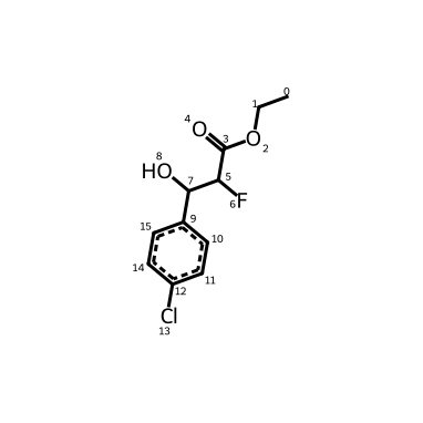 CCOC(=O)C(F)C(O)c1ccc(Cl)cc1